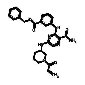 C=CC(=O)N1CCC[C@@H](Nc2cnc(C(N)=O)c(Nc3cccc(C(=O)OCc4ccccc4)c3)n2)C1